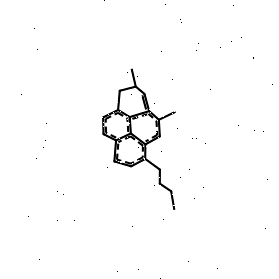 CCCCc1ccc2ccc3c4c(c(C)cc1c24)=CC(C)C3